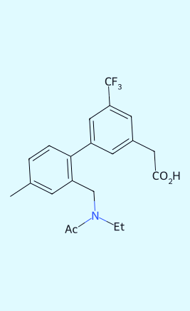 CCN(Cc1cc(C)ccc1-c1cc(CC(=O)O)cc(C(F)(F)F)c1)C(C)=O